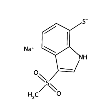 CS(=O)(=O)c1c[nH]c2c([S-])cccc12.[Na+]